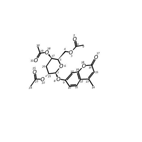 CC(=O)OC[C@H]1O[C@@H](Oc2ccc3c(C)cc(=O)oc3c2)[C@H](OC(C)=O)C[C@H]1OC(C)=O